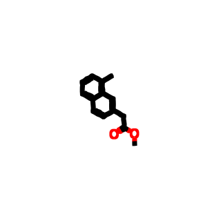 COC(=O)Cc1ccc2cccc(C)c2c1